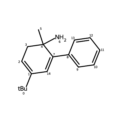 CC(C)(C)C1=CCC(C)(N)C(c2ccccc2)=C1